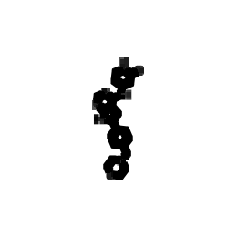 O=c1cc(Nc2ncnc3[nH]c(-c4ccc(CN5CCOCC5)cc4)cc23)cc[nH]1